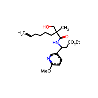 C=CCCCCC(C)(CO)C(=O)N[C@@H](CC(=O)OCC)c1ccc(OC)nc1